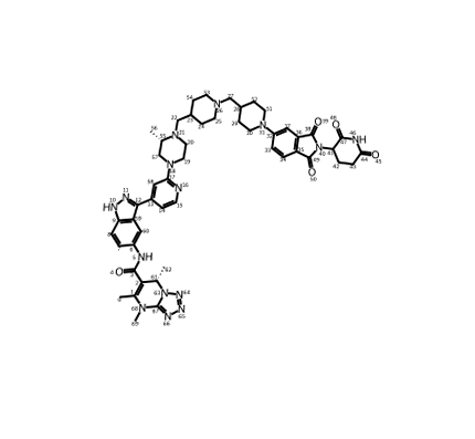 CC1=C(C(=O)Nc2ccc3[nH]nc(-c4ccnc(N5CCN(CC6CCN(CC7CCN(c8ccc9c(c8)C(=O)N(C8CCC(=O)NC8=O)C9=O)CC7)CC6)[C@@H](C)C5)c4)c3c2)[C@H](C)n2nnnc2N1C